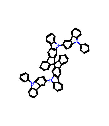 c1ccc(-n2c3ccccc3c3cc(-n4c5ccccc5c5cc6c(cc54)C4(c5ccccc5-6)c5ccccc5-c5cc6c7ccccc7n(-c7ccc8c(c7)c7ccccc7n8-c7ccccc7)c6cc54)ccc32)cc1